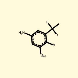 CC(C)(C)c1cc(N)cc(C(C)(F)F)c1F